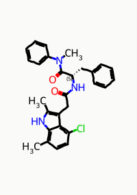 Cc1[nH]c2c(C)ccc(Cl)c2c1CC(=O)N[C@@H](Cc1ccccc1)C(=O)N(C)c1ccccc1